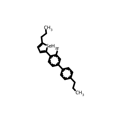 CCCC1=CC=C(c2ccc(-c3ccc(CCC)cc3)cc2F)[SeH2]1